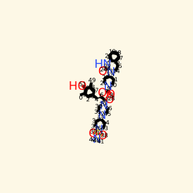 Cc1cc(C[C@@H](OC(=O)N2CCC(N3CCc4ccccc4NC3=O)CC2)C(=O)N2CCN(C3CCN(S(=O)(=O)N(C)C)CC3)CC2)cc(C)c1O